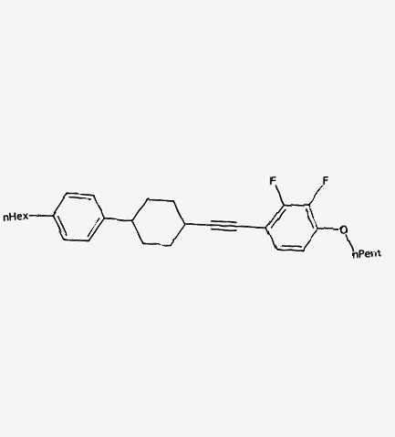 CCCCCCc1ccc(C2CCC(C#Cc3ccc(OCCCCC)c(F)c3F)CC2)cc1